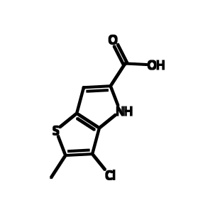 Cc1sc2cc(C(=O)O)[nH]c2c1Cl